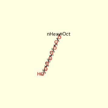 CCCCCCCCC(CCCCCC)OCCOCCOCCOCCOCCOCCOCCO